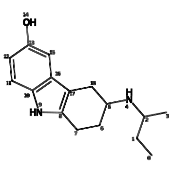 CCC(C)NC1CCc2[nH]c3ccc(O)cc3c2C1